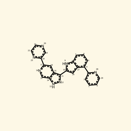 c1ccc(-c2cccc3[nH]c(-c4n[nH]c5cnc(-c6cnccn6)cc45)cc23)nc1